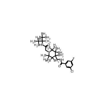 BC(B)(B)C(C)(NC(=O)CN1C(B)(B)C(B)(B)C(B)(CNC(=O)c2cc(F)cc(Cl)c2)C(B)(B)C1(B)B)C(B)(B)B